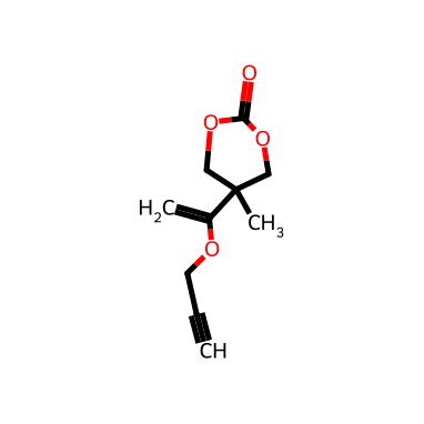 C#CCOC(=C)C1(C)COC(=O)OC1